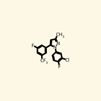 Cc1cc(-c2cc(F)cc(C(F)(F)F)c2)n(-c2ccc(F)c(Cl)c2)n1